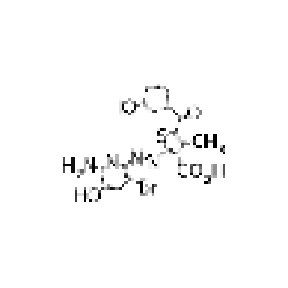 Cc1c(C(=O)c2cccc(O)c2)sc(N=Nc2nc(N)c(O)cc2Br)c1C(=O)O